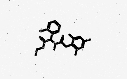 CCOC(=O)C(c1ccccc1Cl)N(C)C(=O)Cc1c(C)cc(C)cc1C